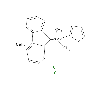 [CH3][Zr+2]([CH3])([C]1=CC=CC1)[CH]1c2ccccc2-c2ccccc21.[Cl-].[Cl-].[GeH4]